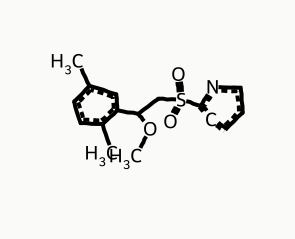 COC(CS(=O)(=O)c1ccccn1)c1cc(C)ccc1C